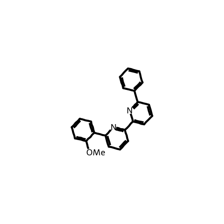 COc1ccccc1-c1cccc(-c2cccc(-c3ccccc3)n2)n1